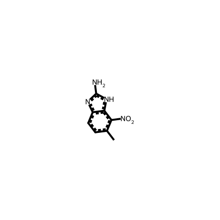 Cc1ccc2nc(N)[nH]c2c1[N+](=O)[O-]